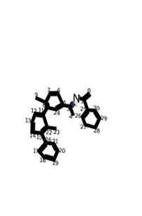 C=C(/N=C(\C)c1ccc(C)c(-c2cccc(-c3ccccc3)c2C)c1)C1=CCCC=C1